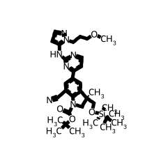 COCCCn1nccc1Nc1nccc(-c2cc(C#N)c3c(c2)[C@@](C)(CO[Si](C)(C)C(C)(C)C)CN3C(=O)OC(C)(C)C)n1